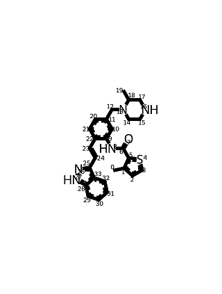 Cc1ccsc1C(=O)Nc1cc(CN2CCNCC2C)ccc1C=Cc1n[nH]c2ccccc12